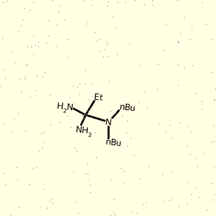 CCCCN(CCCC)C(N)(N)CC